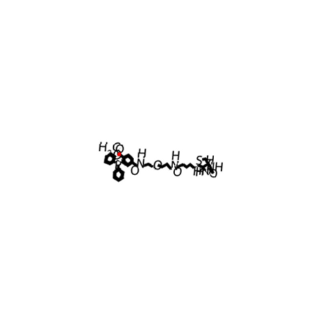 COC(=O)c1ccc(C(=O)NCCCOCCCNC(=O)CCCC[C@@H]2SC[C@@H]3NC(=O)N[C@@H]32)cc1P(c1ccccc1)c1ccccc1